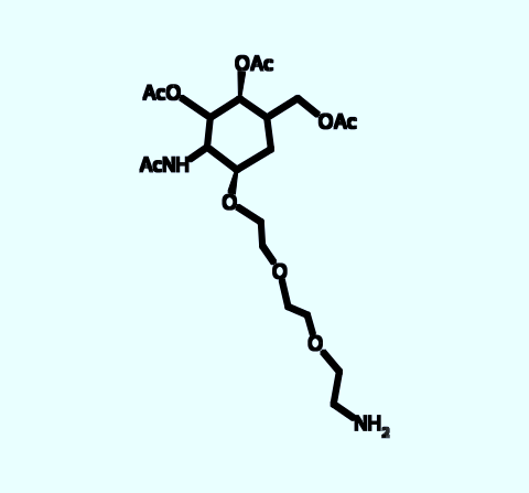 CC(=O)NC1C(OC(C)=O)[C@@H](OC(C)=O)C(COC(C)=O)C[C@H]1OCCOCCOCCN